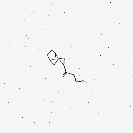 CCOC(=O)C1CC12CC1CCC2C1